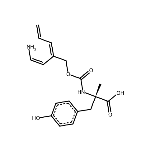 C=C/C=C(\C=C/N)COC(=O)N[C@@](C)(Cc1ccc(O)cc1)C(=O)O